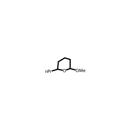 [CH2]CCC1CCCC(OC)O1